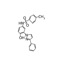 Cc1ccc(S(=O)(=O)Nc2ccc(O)c(-n3ccc(-c4ccccc4)n3)c2)cc1